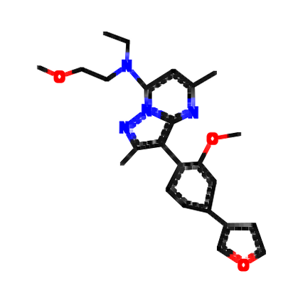 CCN(CCOC)c1cc(C)nc2c(-c3ccc(-c4ccoc4)cc3OC)c(C)nn12